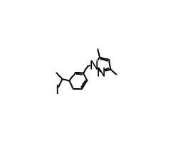 Cc1cc(C)n(CC2=CC(C(C)I)CC=C2)n1